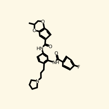 CC1COc2ccc(C(=O)Nc3ccc(CCCN4CCCC4)c(NC(=O)c4ccc(F)cc4)c3)cc2O1